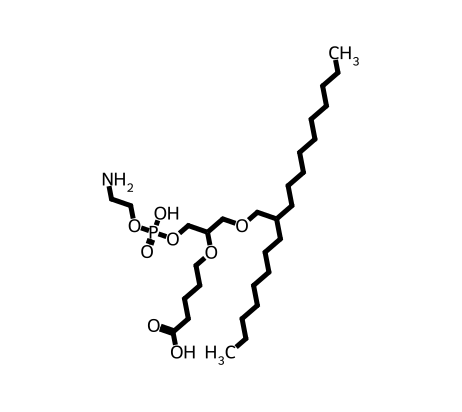 CCCCCCCCCCC(CCCCCCCC)COCC(COP(=O)(O)OCCN)OCCCCC(=O)O